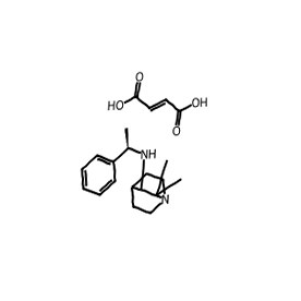 C[C@@H](NC1C2CCN(CC2)C1(C)C)c1ccccc1.O=C(O)C=CC(=O)O